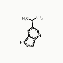 CC(C)c1cnc2cn[nH]c2c1